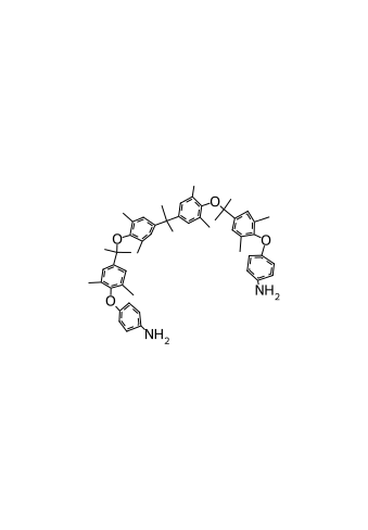 Cc1cc(C(C)(C)Oc2c(C)cc(C(C)(C)c3cc(C)c(OC(C)(C)c4cc(C)c(Oc5ccc(N)cc5)c(C)c4)c(C)c3)cc2C)cc(C)c1Oc1ccc(N)cc1